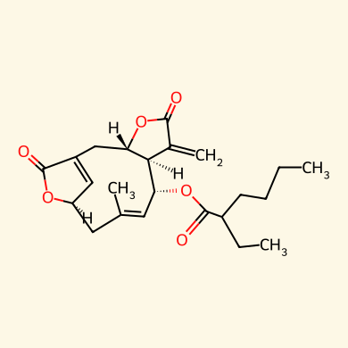 C=C1C(=O)O[C@H]2CC3=C[C@@H](C/C(C)=C/[C@@H](OC(=O)C(CC)CCCC)[C@H]12)OC3=O